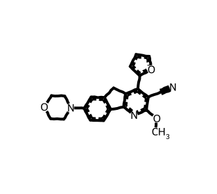 COc1nc2c(c(-c3ccco3)c1C#N)Cc1cc(N3CCOCC3)ccc1-2